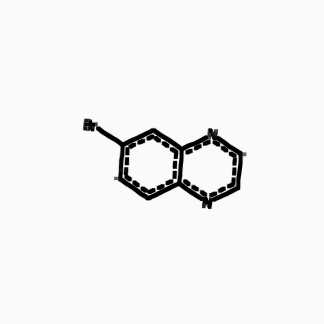 Brc1[c]cc2nc[c]nc2c1